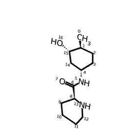 C[C@H]1CC[C@H](NC(=O)[C@@H]2CCCCN2)C[C@@H]1O